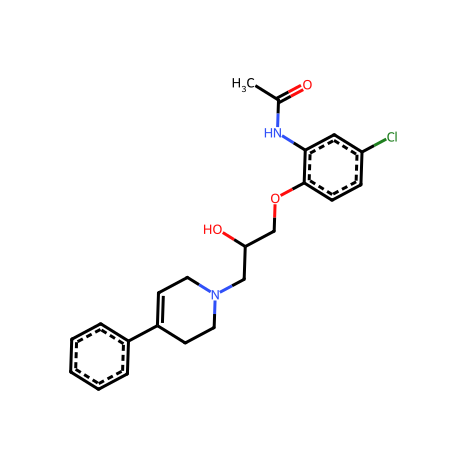 CC(=O)Nc1cc(Cl)ccc1OCC(O)CN1CC=C(c2ccccc2)CC1